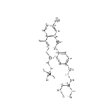 CC1=C(COCC[Si](C)(C)C)C(c2ccc(OCCN3CCCCC3)cc2)Oc2cc(O)ccc21